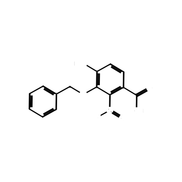 Cc1ccc(C(=O)O)c([N+](=O)[O-])c1OCc1ccccc1